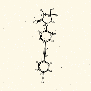 CN1C(=O)N(c2ncc(C#Cc3ccc(F)cc3)cn2)CC1(C)C